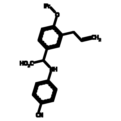 C=CCc1cc(C(Nc2ccc(C#N)cc2)C(=O)O)ccc1OC(C)C